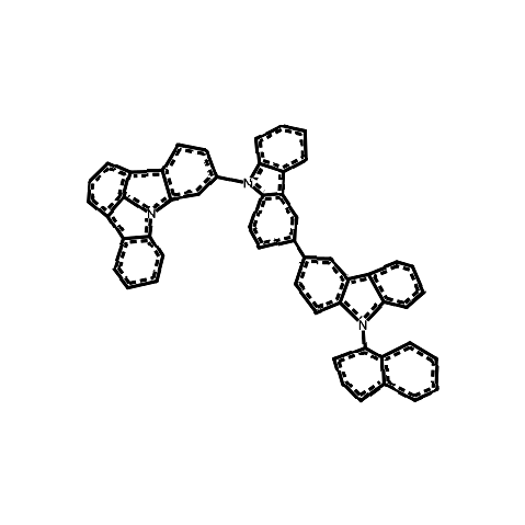 c1ccc2c(-n3c4ccccc4c4cc(-c5ccc6c(c5)c5ccccc5n6-c5ccc6c7cccc8c9ccccc9n(c6c5)c87)ccc43)cccc2c1